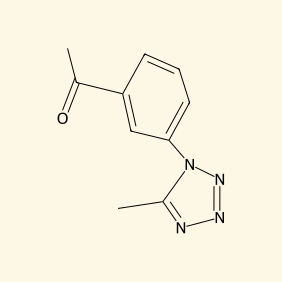 CC(=O)c1cccc(-n2nnnc2C)c1